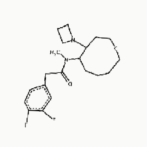 CN(C(=O)Cc1ccc(F)c(F)c1)C1CCCCCCCC1N1CCC1